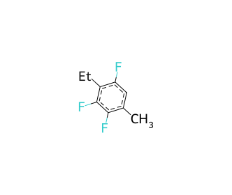 CCc1c(F)cc(C)c(F)c1F